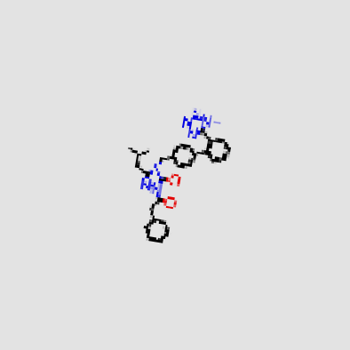 CC(C)Cc1nn(C(=O)Cc2ccccc2)c(=O)n1Cc1ccc(-c2ccccc2-c2nnn[nH]2)cc1